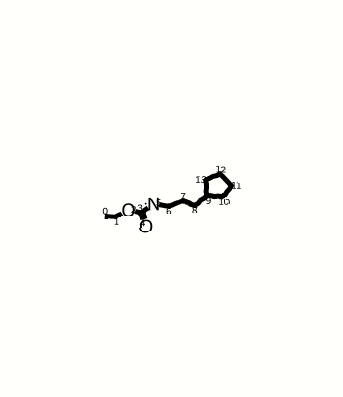 CCOC(=O)[N]CCCC1CCCC1